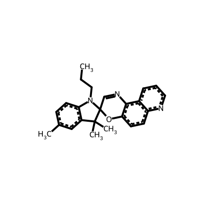 CCCN1c2ccc(C)cc2C(C)(C)C12C=Nc1c(ccc3ncccc13)O2